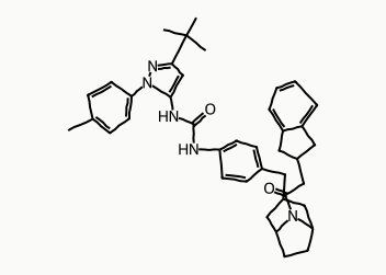 Cc1ccc(-n2nc(C(C)(C)C)cc2NC(=O)Nc2ccc(CC3CC4CCC(C3)N4C(=O)CC3Cc4ccccc4C3)cc2)cc1